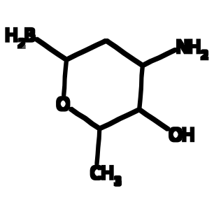 BC1CC(N)C(O)C(C)O1